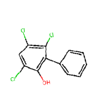 Oc1c(Cl)cc(Cl)c(Cl)c1-c1ccccc1